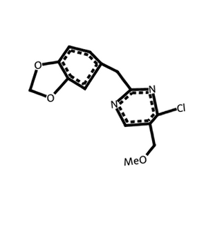 COCc1cnc(Cc2ccc3c(c2)OCO3)nc1Cl